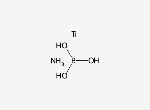 N.OB(O)O.[Ti]